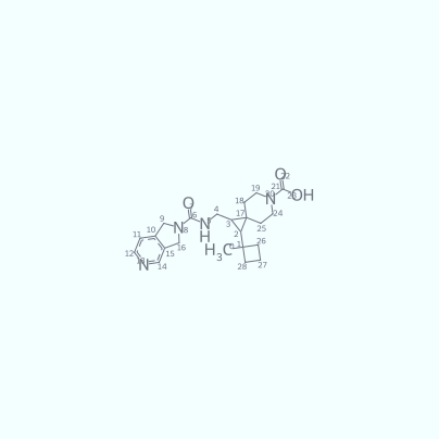 CC1(C2C(CNC(=O)N3Cc4ccncc4C3)C23CCN(C(=O)O)CC3)CCC1